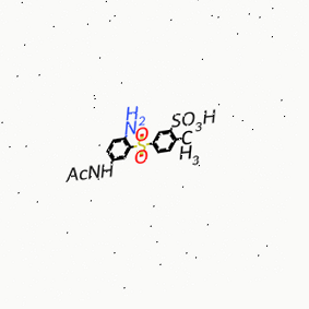 CC(=O)Nc1ccc(N)c(S(=O)(=O)c2ccc(C)c(S(=O)(=O)O)c2)c1